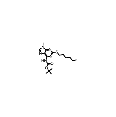 CCCCCCSc1nc(NC(=O)OC(C)(C)C)c2nc[nH]c2n1